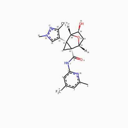 Cc1cc(C(F)(F)F)cc(NC(=O)[C@]23C[C@@]2(c2cn(C)nc2C(F)(F)F)[C@H]2O[C@@H]3C[C@@H]2O)n1